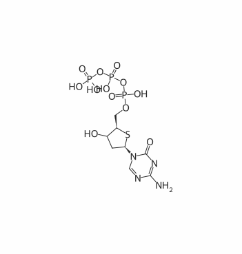 Nc1ncn([C@H]2CC(O)[C@@H](COP(=O)(O)OP(=O)(O)OP(=O)(O)O)S2)c(=O)n1